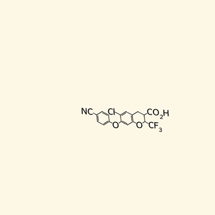 N#Cc1ccc(Oc2cc3c(cc2Cl)CC(C(=O)O)C(C(F)(F)F)O3)cc1